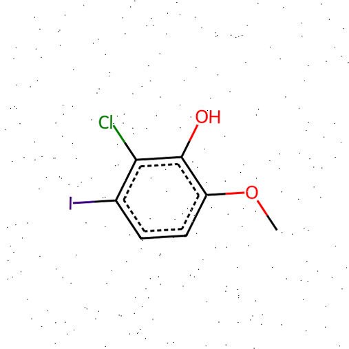 COc1ccc(I)c(Cl)c1O